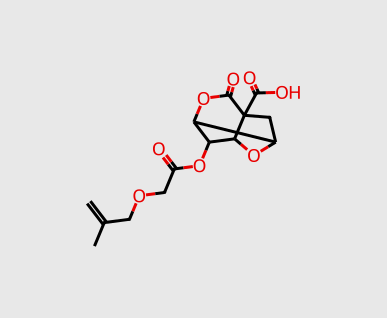 C=C(C)COCC(=O)OC1C2OC(=O)C3(C(=O)O)CC2OC13